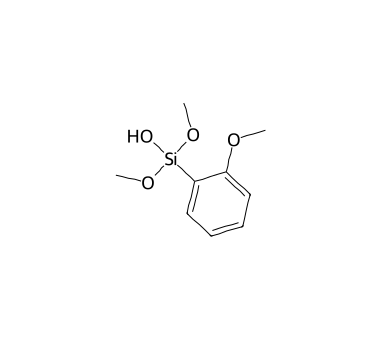 COc1ccccc1[Si](O)(OC)OC